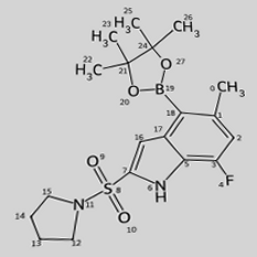 Cc1cc(F)c2[nH]c(S(=O)(=O)N3CCCC3)cc2c1B1OC(C)(C)C(C)(C)O1